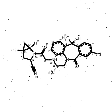 C[C@@H](CN1C(=O)c2cc(Cl)ccc2C(C)(C)c2ccccc21)NCC(=O)N1C(C#N)C[C@@H]2C[C@@H]21